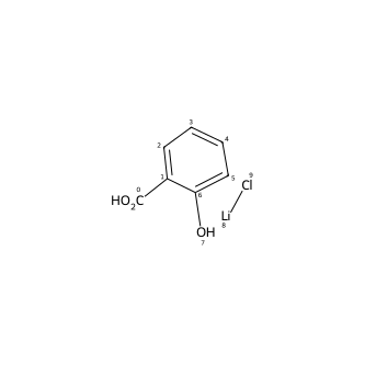 O=C(O)c1ccccc1O.[Li][Cl]